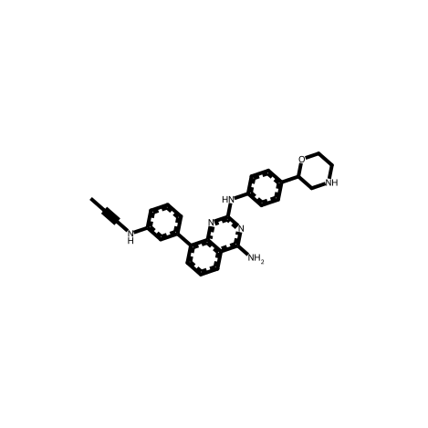 CC#CNc1cccc(-c2cccc3c(N)nc(Nc4ccc(C5CNCCO5)cc4)nc23)c1